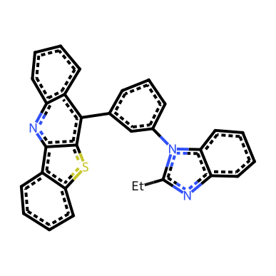 CCc1nc2ccccc2n1-c1cccc(-c2c3ccccc3nc3c2sc2ccccc23)c1